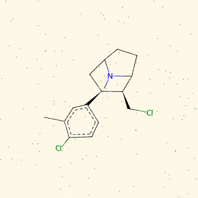 Cc1cc([C@H]2CC3CCC([C@H]2CCl)N3C)ccc1Cl